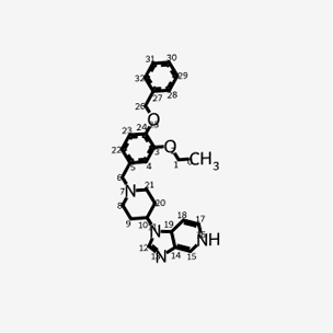 CCOc1cc(CN2CCC(N3C=NC4=CNC=CC43)CC2)ccc1OCc1ccccc1